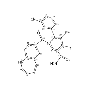 Cc1c(C(N)=O)cc(C(=O)c2ccc3c(c2)C=CC=CN3)c(-c2cccc(Cl)c2)c1F